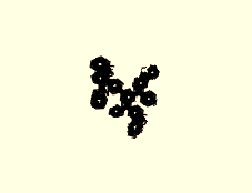 c1ccc(N(c2cc(-c3ccc4c5c6sc7ccccc7c6ccc5n(-c5ccccc5)c4c3)cc(N(c3ccccc3)c3ccc4sc5ccccc5c4c3)c2)c2ccc3sc4ccccc4c3c2)cc1